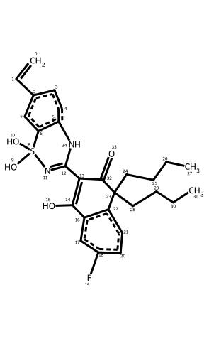 C=Cc1ccc2c(c1)S(O)(O)N=C(C1=C(O)c3cc(F)ccc3C(CCCC)(CCCC)C1=O)N2